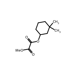 COC(=O)C(=O)OC1CCCC(C)(C)C1